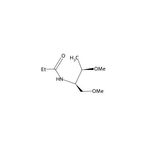 CCC(=O)N[C@H](COC)[C@@H](C)OC